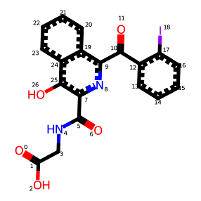 O=C(O)CNC(=O)c1nc(C(=O)c2ccccc2I)c2ccccc2c1O